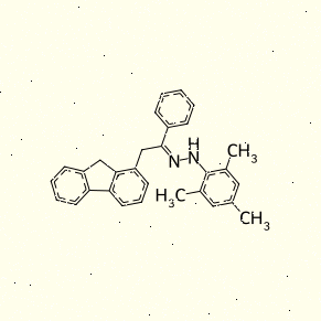 Cc1cc(C)c(NN=C(Cc2cccc3c2Cc2ccccc2-3)c2ccccc2)c(C)c1